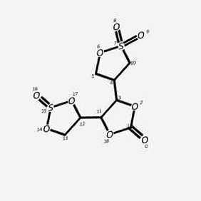 O=C1OC(C2COS(=O)(=O)C2)C(C2COS(=O)O2)O1